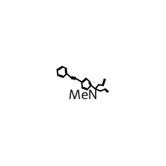 C=CCC(CC=C)(NC)c1ccc(C#Cc2ccccc2)cc1